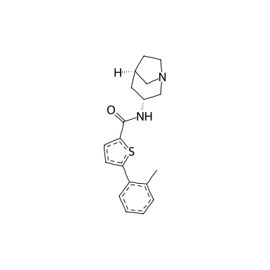 Cc1ccccc1-c1ccc(C(=O)N[C@@H]2C[C@H]3CCN(C3)C2)s1